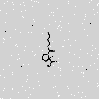 CCCCOC(=O)N1CCC[C@@]1(C)C(=O)O